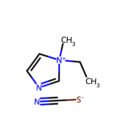 CC[N+]1(C)C=CN=C1.N#C[S-]